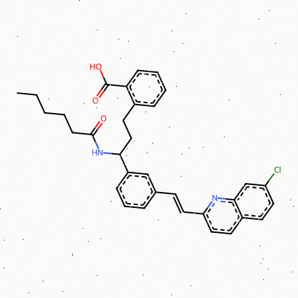 CCCCCC(=O)NC(CCc1ccccc1C(=O)O)c1cccc(C=Cc2ccc3ccc(Cl)cc3n2)c1